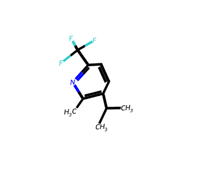 Cc1nc(C(F)(F)F)ccc1C(C)C